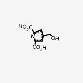 O=C(O)c1cc(CO)cc(C(=O)O)n1